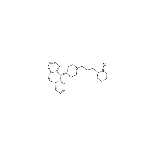 CC(=O)N1CCCCC1CCCN1CCC(=C2c3ccccc3C=Cc3ccccc32)CC1